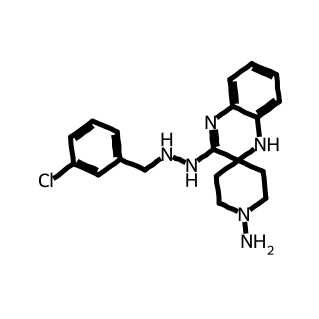 NN1CCC2(CC1)Nc1ccccc1N=C2NNCc1cccc(Cl)c1